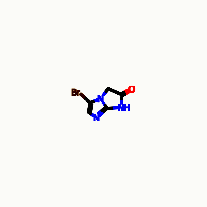 O=C1Cn2c(Br)cnc2N1